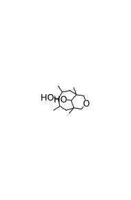 CC1CC2(C)COCC(C)(CC(C)C1O)C2O